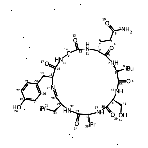 CC[C@H](C)[C@@H]1NC(=O)[C@@H](CCC(N)=O)NC(=O)CNC(=O)[C@H](Cc2ccc(O)cc2)N=C[C@H](CC(C)C)NC(=O)[C@H](C(C)C)NC(=O)[C@H](CO)NC1=O